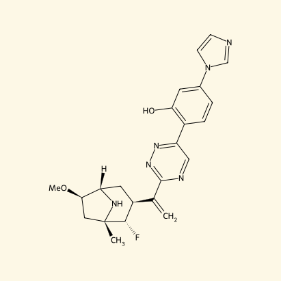 C=C(c1ncc(-c2ccc(-n3ccnc3)cc2O)nn1)[C@@H]1C[C@@H]2N[C@@](C)(C[C@H]2OC)[C@H]1F